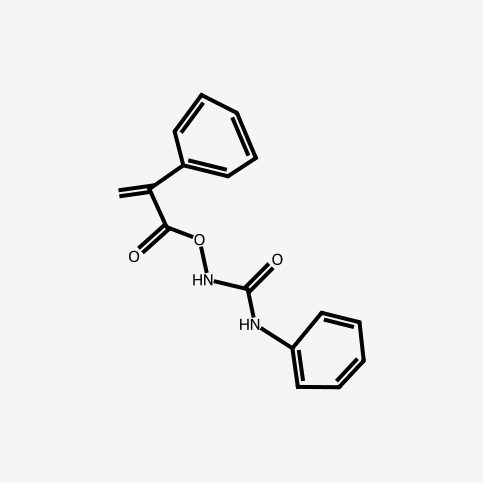 C=C(C(=O)ONC(=O)Nc1ccccc1)c1ccccc1